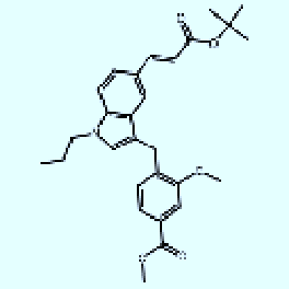 CCCn1cc(Cc2ccc(C(=O)OC)cc2OC)c2cc(C=CC(=O)OC(C)(C)C)ccc21